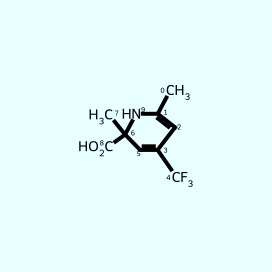 CC1=CC(C(F)(F)F)=CC(C)(C(=O)O)N1